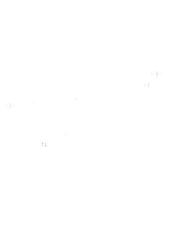 CC(C)Cc1ccc(CCCCOc2ccc(C(=O)c3cc(CCCC(=O)O)n4ccccc34)cc2)cc1